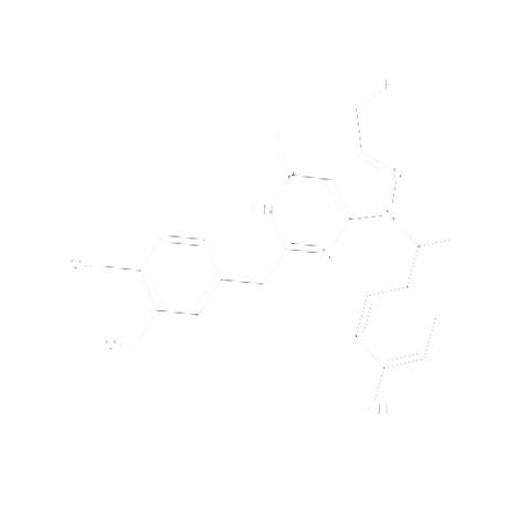 COc1ccc(Cc2nc3c(c(CF)nn3C(C)c3ccc(C)cc3)c(=O)[nH]2)cc1OC